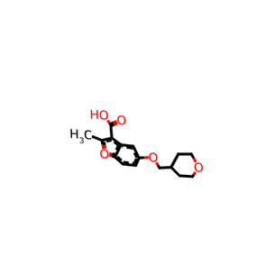 Cc1oc2ccc(OCC3CCOCC3)cc2c1C(=O)O